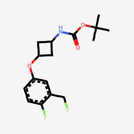 CC(C)(C)OC(=O)NC1CC(Oc2ccc(F)c(CF)c2)C1